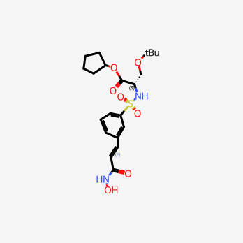 CC(C)(C)OC[C@H](NS(=O)(=O)c1cccc(/C=C/C(=O)NO)c1)C(=O)OC1CCCC1